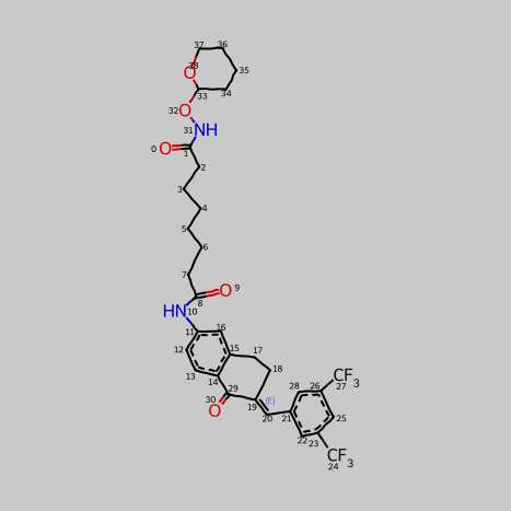 O=C(CCCCCCC(=O)Nc1ccc2c(c1)CC/C(=C\c1cc(C(F)(F)F)cc(C(F)(F)F)c1)C2=O)NOC1CCCCO1